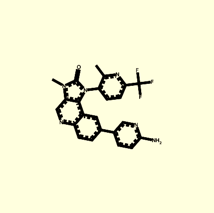 Cc1nc(C(F)(F)F)ccc1-n1c(=O)n(C)c2cnc3ccc(-c4ccc(N)nc4)cc3c21